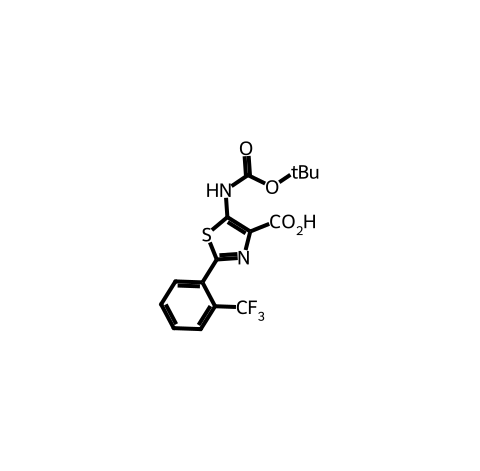 CC(C)(C)OC(=O)Nc1sc(-c2ccccc2C(F)(F)F)nc1C(=O)O